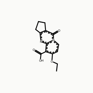 CCOc1ccn2c(=O)c3c(nc2c1C(=O)O)CCC3